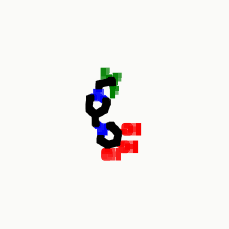 O[C@H]1[C@H](O)CN(CC2CCN(CC(F)(F)F)CC2)C[C@@H]1O